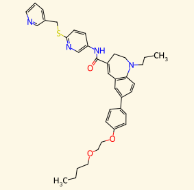 CCCCOCCOc1ccc(-c2ccc3c(c2)C=C(C(=O)Nc2ccc(SCc4cccnc4)nc2)CCN3CCC)cc1